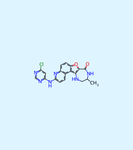 CC1CNc2c(oc3ccc4nc(Nc5cc(Cl)ncn5)ccc4c23)C(=O)N1